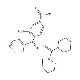 Nc1cc([N+](=O)[O-])ccc1C(=O)c1ccccc1.O=C(N1CCCCC1)N1CCCCC1